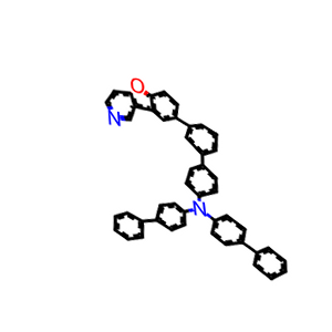 c1ccc(-c2ccc(N(c3ccc(-c4ccccc4)cc3)c3ccc(-c4cccc(-c5ccc6oc7ccncc7c6c5)c4)cc3)cc2)cc1